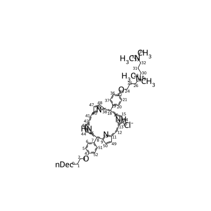 CCCCCCCCCCCCOc1ccc(-c2c3nc(cc4ccc([nH]4)c(-c4ccc(OCCC[N+](C)(C)CCCN(C)C)cc4)c4nc(cc5ccc2[nH]5)C=C4)C=C3)cc1.[Cl-]